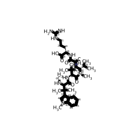 CNC(C(=O)N[C@H](C(=O)N(C)[C@H](/C=C(\C)C(=O)N[C@@H](CCCNC(=N)N)C(=O)O)C(C)C)C(C)(C)C)C(C)(C)c1cn(C)c2ccccc12